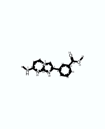 CNc1ccn2cc(-c3cccc(C(=O)OC)c3)nc2n1